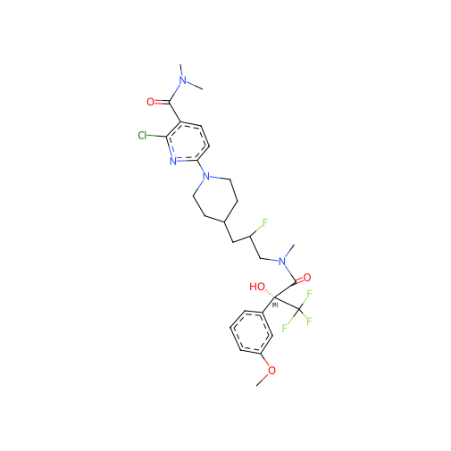 COc1cccc([C@@](O)(C(=O)N(C)CC(F)CC2CCN(c3ccc(C(=O)N(C)C)c(Cl)n3)CC2)C(F)(F)F)c1